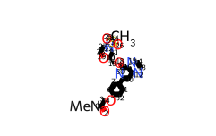 CNC(=O)COc1ccc(-c2cc3nccnc3c(OC[C@@H]3CN(S(C)(=O)=O)CCO3)n2)cc1